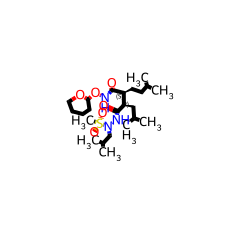 CC(C)CC[C@H](C(=O)NOC1CCCCO1)[C@@H](CC(C)C)C(=O)NN(CC(C)C)S(C)(=O)=O